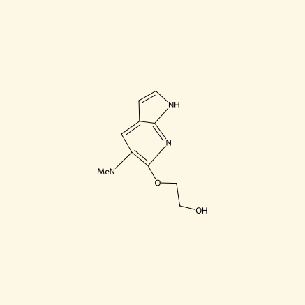 CNc1cc2cc[nH]c2nc1OCCO